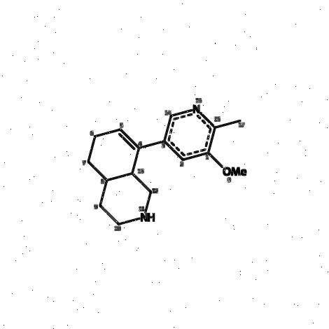 COc1cc(C2=CCCC3CCNCC23)cnc1C